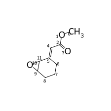 COC(=O)C=C1CCCC2OC12